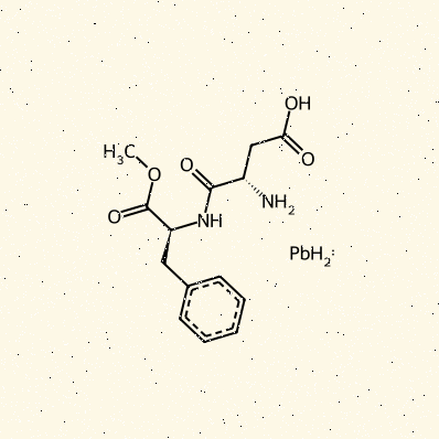 COC(=O)[C@H](Cc1ccccc1)NC(=O)[C@@H](N)CC(=O)O.[PbH2]